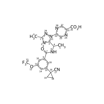 Cc1nc(C(C)NC(=O)c2cc(OC(F)(F)F)cc(C3(C#N)CC3)c2)n(-c2cnc(C(=O)O)cn2)n1